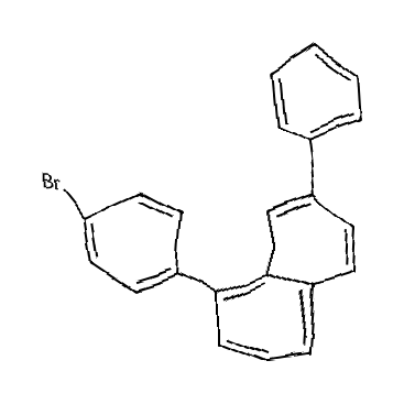 Brc1ccc(-c2cccc3ccc(-c4ccccc4)cc23)cc1